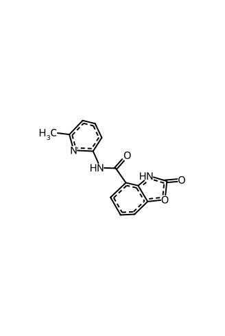 Cc1cccc(NC(=O)c2cccc3oc(=O)[nH]c23)n1